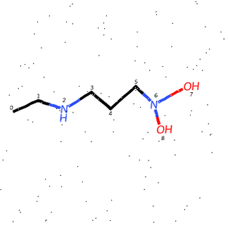 CCNCCCN(O)O